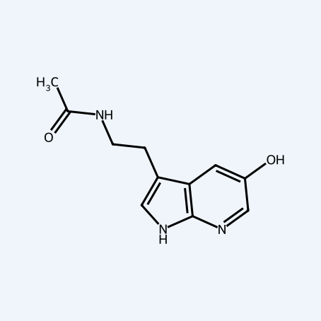 CC(=O)NCCc1c[nH]c2ncc(O)cc12